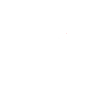 CC(C)(Oc1ccccc1C=CC(=O)c1ccccc1)C(=O)O